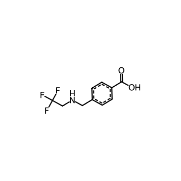 O=C(O)c1ccc(CNCC(F)(F)F)cc1